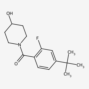 CC(C)(C)c1ccc(C(=O)N2CCC(O)CC2)c(F)c1